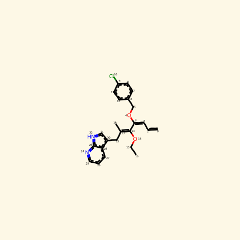 C=C/C=C(OCc1ccc(Cl)cc1)\C(OCC)=C(/C)Cc1c[nH]c2ncccc12